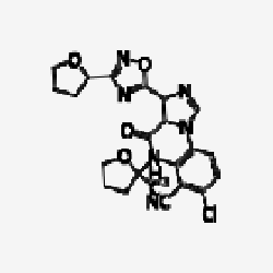 CC1(N2C(=O)C3C(c4nc(C5CCCO5)no4)N=CN3c3ccc(Cl)c(C#N)c32)CCCO1